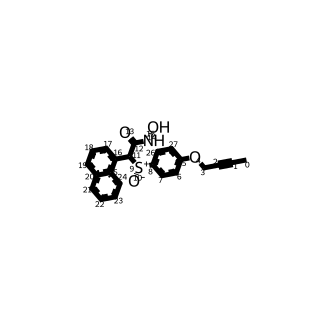 CC#CCOc1ccc([S+]([O-])C(C(=O)NO)c2cccc3ccccc23)cc1